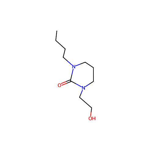 CCCCN1CCCN(CCO)C1=O